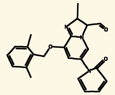 Cc1cccc(C)c1COC1=CC(n2ccccc2=O)=CN2C1=NC(C)C2C=O